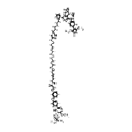 COC(=O)[C@H](COC(C)(C)C)NC(=O)c1ccc(Oc2cccc(OCC(=O)NCCOCCOCCOCCOCCOCCOCc3cn(CCCCCCn4nccc4C(=O)N[C@H](C(=O)Nc4ccc(-c5c(C)n[nH]c5C)cc4)C(C4CC4)C4CC4)nn3)c2)nc1